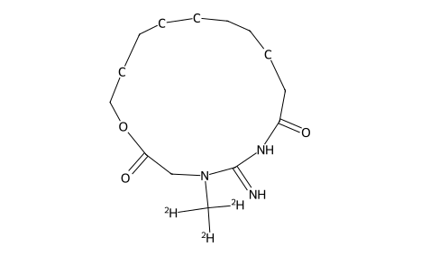 [2H]C([2H])([2H])N1CC(=O)OCCCCCCCCCC(=O)NC1=N